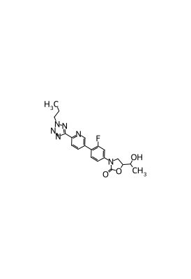 CCCn1nnc(-c2ccc(-c3ccc(N4CC(C(C)O)OC4=O)cc3F)cn2)n1